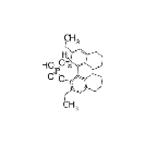 CCc1cc2c(c3c1OP(=O)(O)O[C@H]1C3=C3CCCCC3=CC1CC)CCCC2